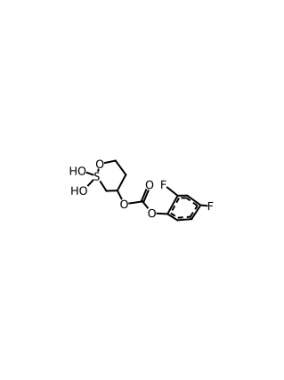 O=C(Oc1ccc(F)cc1F)OC1CCOS(O)(O)C1